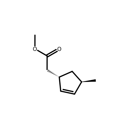 COC(=O)C[C@H]1C=C[C@H](C)C1